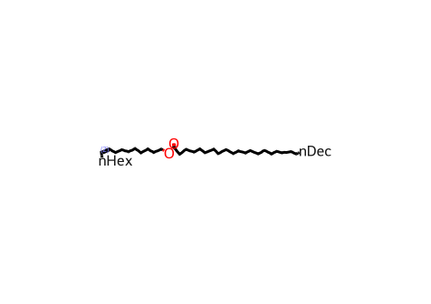 CCCCCC/C=C\CCCCCCCCOC(=O)CCCCCCCCCCCCCCCCCCCCCCCCCCCCC